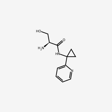 N[C@@H](CO)C(=O)NC1(c2ccccn2)CC1